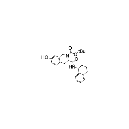 CC(C)(C)OC(=O)N1Cc2cc(O)ccc2CC1C(=O)NC1CCCc2ccccc21